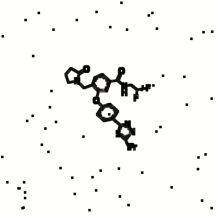 CC(C)c1nnc(-c2ccc(Oc3cc(C(=O)NCC(F)F)ccc3CN3CCCC3=O)cc2)s1